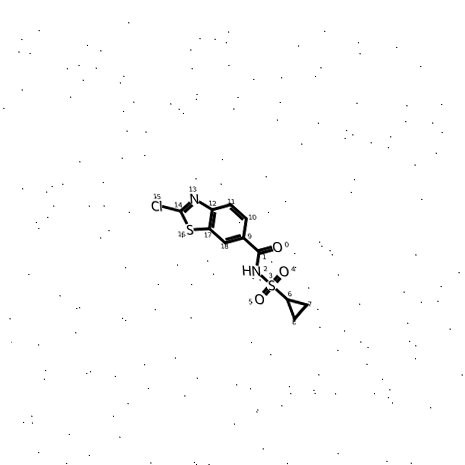 O=C(NS(=O)(=O)C1CC1)c1ccc2nc(Cl)sc2c1